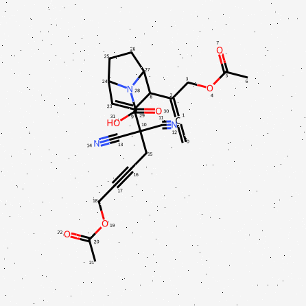 C=C=C(COC(C)=O)C1C(C(C#N)(C#N)CC#CCOC(C)=O)=CC2CCC1N2C(=O)O